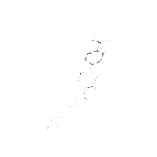 CCC(=O)c1ccc(N2CCN(C(=O)CCCCCC(C)C)CC2)cc1